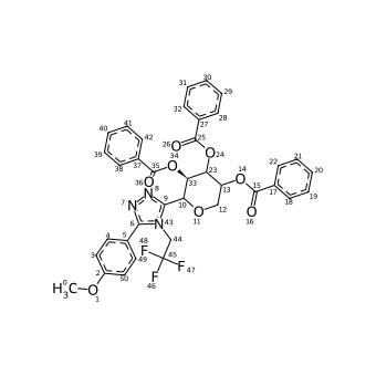 COc1ccc(-c2nnc(C3OCC(OC(=O)c4ccccc4)C(OC(=O)c4ccccc4)[C@@H]3OC(=O)c3ccccc3)n2CC(F)(F)F)cc1